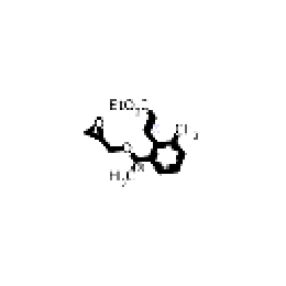 CCOC(=O)/C=C/c1c(C)cccc1[C@@H](C)OCC1CO1